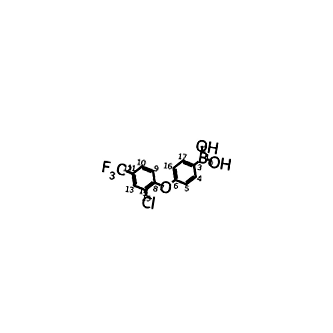 OB(O)c1ccc(Oc2ccc(C(F)(F)F)cc2Cl)cc1